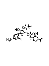 C=C(C)[C@H]1CC[C@@]2(C)SP(=S)(OC[C@H]3O[C@@H](n4ccc(N)nc4=O)[C@H](O)[C@@H]3O[Si](C)(C)C(C)(C)C)O[C@@H]2C1